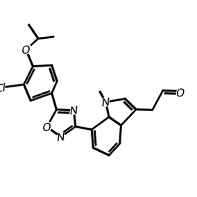 CC(C)Oc1ccc(-c2nc(C3=CC=CC4C(CC=O)=CN(C)C34)no2)cc1Cl